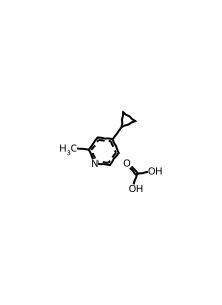 Cc1cc(C2CC2)ccn1.O=C(O)O